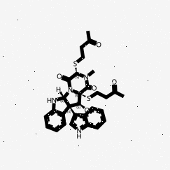 CC(=O)CCS[C@H]1C(=O)N2[C@H]3Nc4ccccc4[C@@]3(c3c[nH]c4ccccc34)[C@H](O)[C@]2(SCCC(C)=O)C(=O)N1C